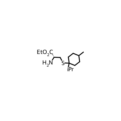 CCOC(=O)[C@@H](N)CSC1(C(C)C)CCC(C)CC1